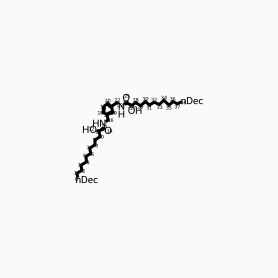 CCCCCCCCCCCCCCCCCCCCC(O)C(=O)NCc1cccc(CNC(=O)C(O)CCCCCCCCCCCCCCCCCCCC)c1